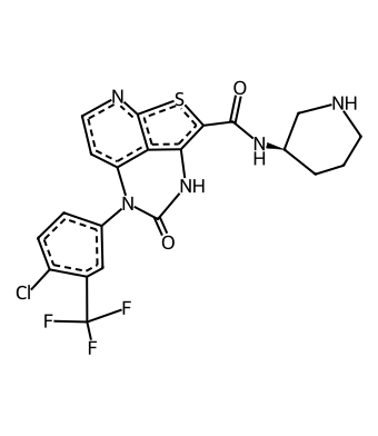 O=C(N[C@@H]1CCCNC1)c1sc2nccc3c2c1NC(=O)N3c1ccc(Cl)c(C(F)(F)F)c1